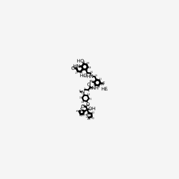 CN(CCC(=O)Nc1cc(F)cc(CNC[C@H](O)c2ccc(O)c3[nH]c(=O)ccc23)c1F)[C@H]1CC[C@H](OC(=O)C(O)(c2cccs2)c2cccs2)CC1.F